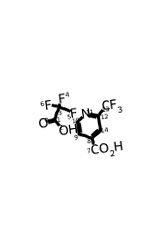 O=C(O)C(F)(F)F.O=C(O)c1ccnc(C(F)(F)F)c1